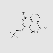 CC(C)(C)COC(=O)C(O)c1c([N+](=O)[O-])cccc1[N+](=O)[O-]